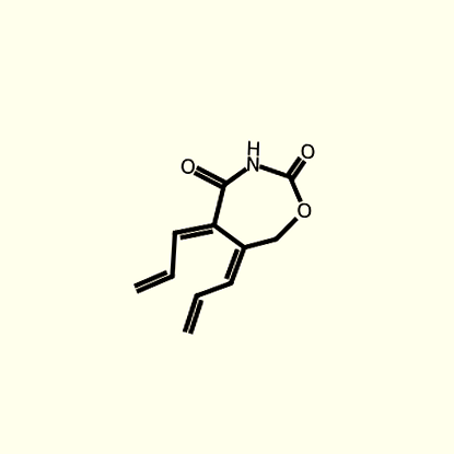 C=C/C=C1/COC(=O)NC(=O)/C1=C/C=C